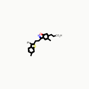 Cc1ccc2c(C(C)C)c(CCc3noc4cc(CCC(=O)O)c(C)cc34)sc2c1